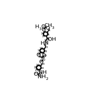 CC1(C)OCc2cc([C@H](O)CNCCc3ccc4c(c3)O[C@H](COCc3cccc(NC(N)=O)c3)CO4)ccc2O1